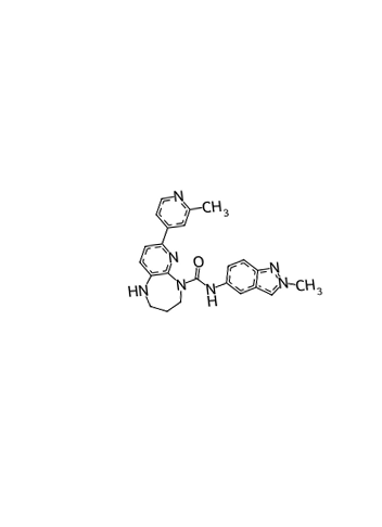 Cc1cc(-c2ccc3c(n2)N(C(=O)Nc2ccc4nn(C)cc4c2)CCCN3)ccn1